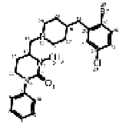 CN1C(=O)N(c2ccccc2)CCC1CN1CCC(Cc2cc(Cl)ccc2Br)CC1